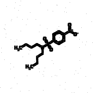 CCCCN(CCCC)S(=O)(=O)c1ccc([N+](=O)[O-])cc1